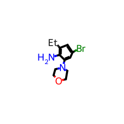 CCc1cc(Br)cc(N2CCOCC2)c1N